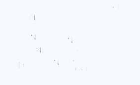 CC(C)c1cnc2c(N(Cc3cccc(C(F)(F)F)c3)C(=O)OC(C)(C)C)cc(Cl)nn12